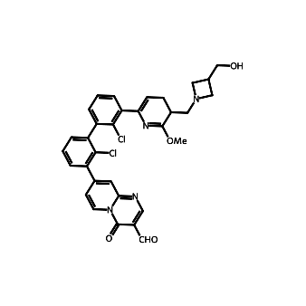 COC1=NC(c2cccc(-c3cccc(-c4ccn5c(=O)c(C=O)cnc5c4)c3Cl)c2Cl)=CCC1CN1CC(CO)C1